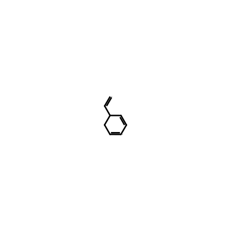 [CH]=CC1C=C[C]=CC1